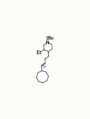 CCC1CN(C(C)(C)C)CCC1CC/C=C/C1CCCCCCC1